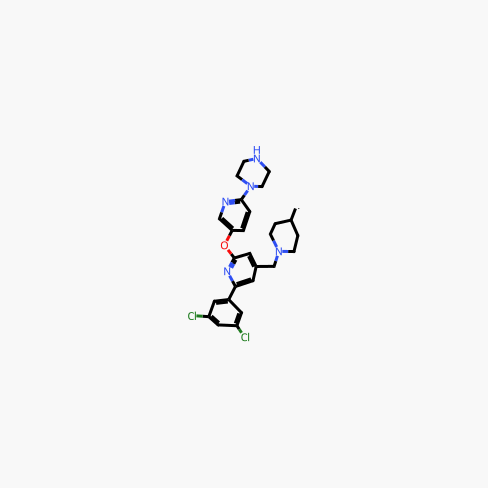 [CH2]C1CCN(Cc2cc(Oc3ccc(N4CCNCC4)nc3)nc(-c3cc(Cl)cc(Cl)c3)c2)CC1